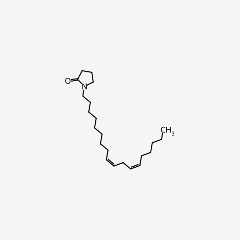 CCCCC/C=C\C/C=C\CCCCCCCCN1CCCC1=O